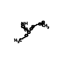 CCCCCc1ccc(-c2ccc(-c3ccc(OCCCCCCOCC4(CC)COC4)cc3)c(/C=N/N=C/c3ccc(C=N)cc3)c2)cc1